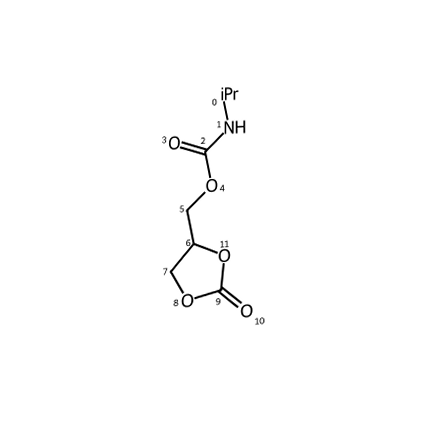 CC(C)NC(=O)OCC1COC(=O)O1